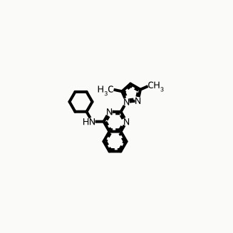 Cc1cc(C)n(-c2nc(NC3CCCCC3)c3ccccc3n2)n1